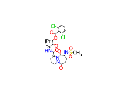 CC(C)C[C@H](NC(=O)[C@@H]1CCCN2C(=O)CCC(NS(C)(=O)=O)C(=O)N12)C(=O)COC(=O)c1c(Cl)cccc1Cl